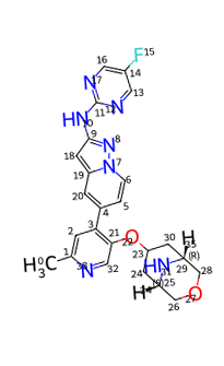 Cc1cc(-c2ccn3nc(Nc4ncc(F)cn4)cc3c2)c(OC2C[C@H]3COC[C@@H](C2)N3)cn1